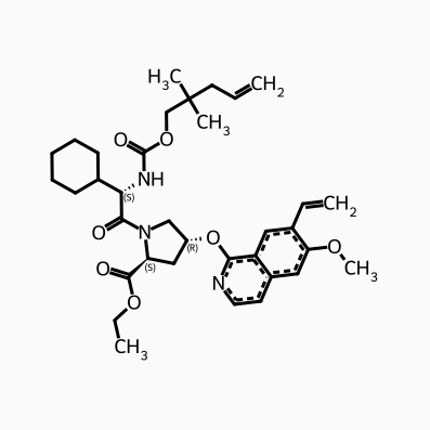 C=CCC(C)(C)COC(=O)N[C@H](C(=O)N1C[C@H](Oc2nccc3cc(OC)c(C=C)cc23)C[C@H]1C(=O)OCC)C1CCCCC1